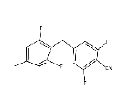 Cc1cc(F)c(Cc2cc(F)c(C#N)c(F)c2)c(F)c1